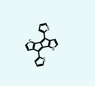 c1csc(C2=C3C(=C(c4cccs4)c4ccsc43)c3sccc32)c1